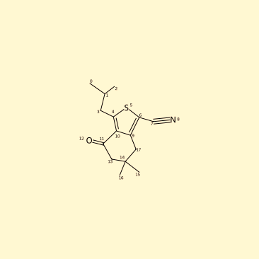 CC(C)Cc1sc(C#N)c2c1C(=O)CC(C)(C)C2